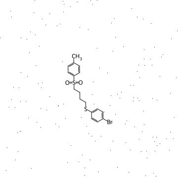 Cc1ccc(S(=O)(=O)CCCCSc2ccc(Br)cc2)cc1